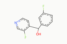 OC(c1cccc(F)c1)c1ccncc1F